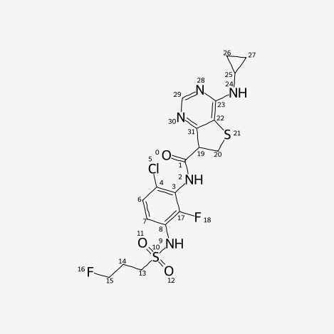 O=C(Nc1c(Cl)ccc(NS(=O)(=O)CCCF)c1F)C1CSc2c(NC3CC3)ncnc21